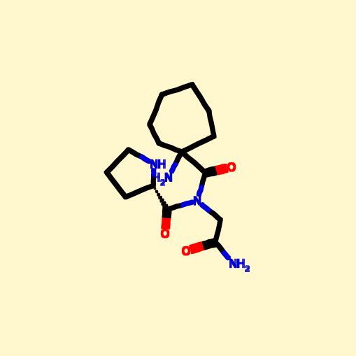 NC(=O)CN(C(=O)[C@@H]1CCCN1)C(=O)C1(N)CCCCCC1